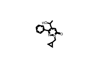 CC(O)c1cc(=O)n(CC2CC2)nc1-c1ccccc1